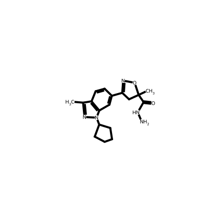 Cc1nn(C2CCCC2)c2cc(C3=NOC(C)(C(=O)NN)C3)ccc12